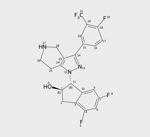 O[C@@H]1Cc2c(F)cc(F)cc2[C@H]1n1nc(-c2ccc(F)c(C(F)(F)F)c2)c2c1CCNC2